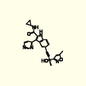 Cc1cc([C@](C)(O)C#Cc2ccc3[nH]c(C(=O)NC4CC4)c(-c4ccncn4)c3c2)no1